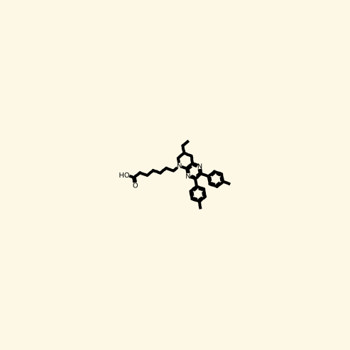 CCC1Cc2nc(-c3ccc(C)cc3)c(-c3ccc(C)cc3)nc2N(CCCCCCC(=O)O)C1